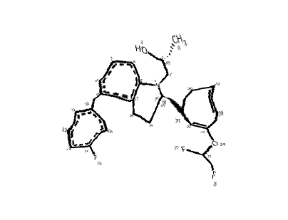 C[C@@H](O)CN1c2cccc(-c3cccc(F)c3)c2CC[C@@H]1C1C=C(OC(F)F)C=CC1